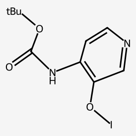 CC(C)(C)OC(=O)Nc1ccncc1OI